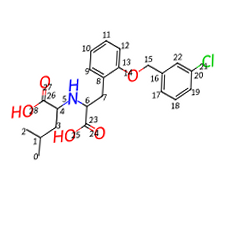 CC(C)CC(NC(Cc1ccccc1OCc1cccc(Cl)c1)C(=O)O)C(=O)O